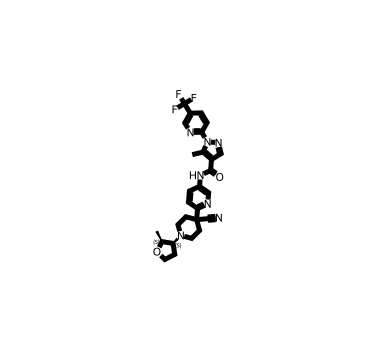 Cc1c(C(=O)Nc2ccc(C3(C#N)CCN([C@H]4CCO[C@H]4C)CC3)nc2)cnn1-c1ccc(C(F)(F)F)cn1